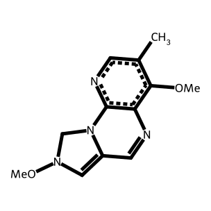 COc1c(C)cnc2c1N=CC1=CN(OC)CN12